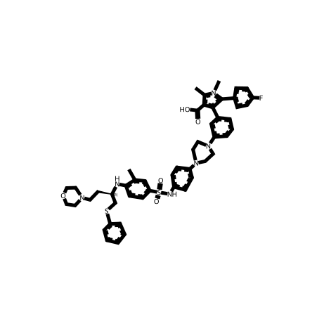 Cc1cc(S(=O)(=O)Nc2ccc(N3CCN(c4cccc(-c5c(C(=O)O)c(C)n(C)c5-c5ccc(F)cc5)c4)CC3)cc2)ccc1N[C@H](CCN1CCOCC1)CSc1ccccc1